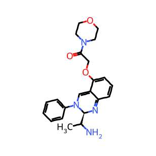 CC(N)[C@@H]1N=c2cccc(OCC(=O)N3CCOCC3)c2=CN1c1ccccc1